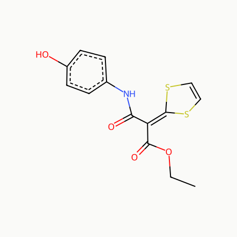 CCOC(=O)C(C(=O)Nc1ccc(O)cc1)=C1SC=CS1